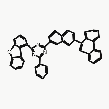 c1ccc(-c2nc(-c3ccc4ccc(-c5cc6ccccc6c6ccccc56)cc4c3)nc(-c3cccc4oc5ccccc5c34)n2)cc1